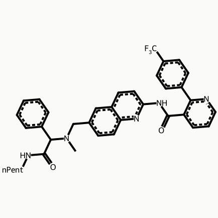 CCCCCNC(=O)C(c1ccccc1)N(C)Cc1ccc2nc(NC(=O)c3cccnc3-c3ccc(C(F)(F)F)cc3)ccc2c1